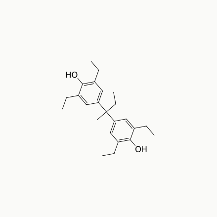 CCc1cc(C(C)(CC)c2cc(CC)c(O)c(CC)c2)cc(CC)c1O